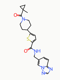 CC1(C(=O)N2CCC(c3ccc(C(=O)NCc4ccc5ncnn5c4)s3)CC2)CC1